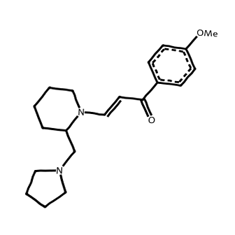 COc1ccc(C(=O)/C=C/N2CCCCC2CN2CCCC2)cc1